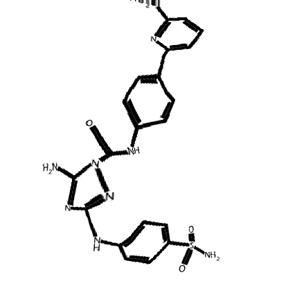 Nc1nc(Nc2ccc(S(N)(=O)=O)cc2)nn1C(=O)Nc1ccc(-c2cccc(C(=O)O)n2)cc1